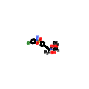 CB(O)ON(B(C)O)C(C)C#Cc1ccc(S(=O)(=O)Nc2ccc(Cl)cc2)cc1